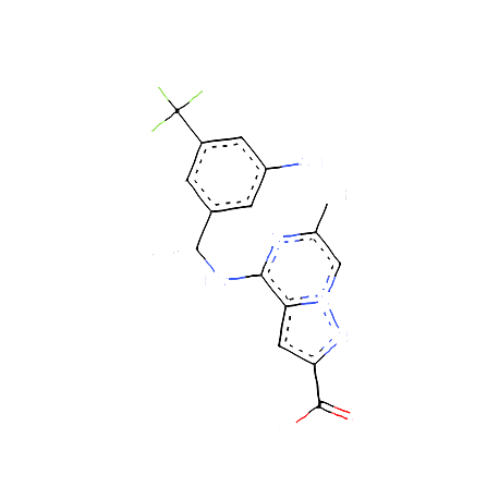 Cc1cn2nc(C(=O)O)cc2c(N[C@H](C)c2cc(N)cc(C(F)(F)F)c2)n1